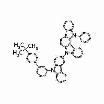 CC(C)(C)c1ccc(-c2cccc(-n3c4ccccc4c4cc(-n5c6ccccc6c6c5ccc5c7ccccc7n(-c7ccccc7)c56)ccc43)c2)cc1